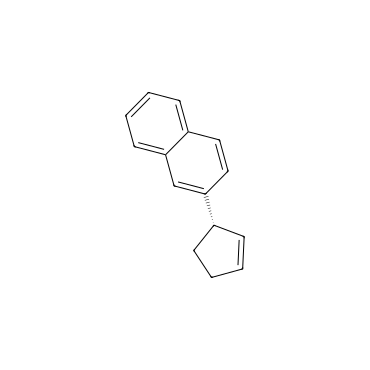 C1=C[C@@H](c2ccc3ccccc3c2)CC1